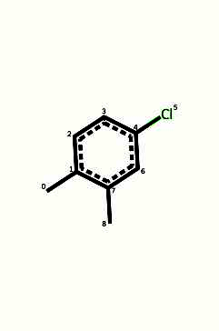 Cc1c[c]c(Cl)cc1C